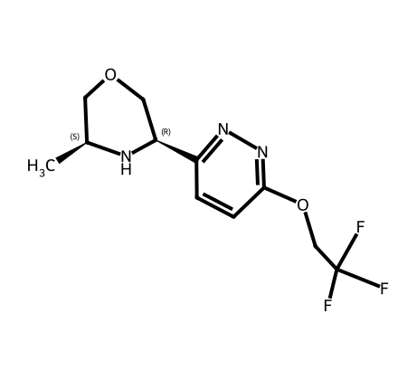 C[C@H]1COC[C@@H](c2ccc(OCC(F)(F)F)nn2)N1